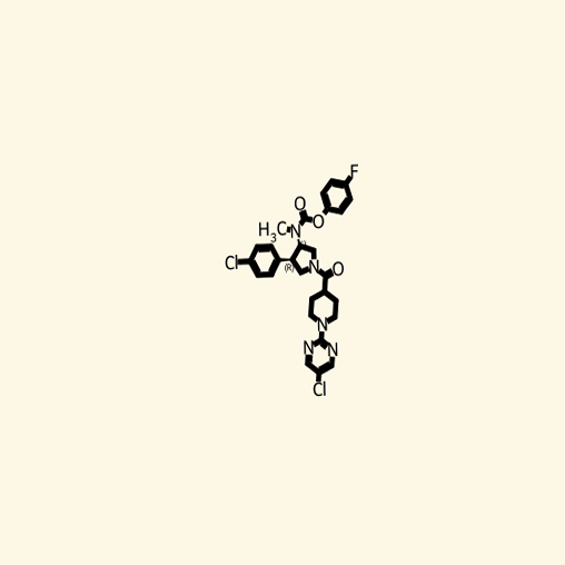 CN(C(=O)Oc1ccc(F)cc1)[C@@H]1CN(C(=O)C2CCN(c3ncc(Cl)cn3)CC2)C[C@H]1c1ccc(Cl)cc1